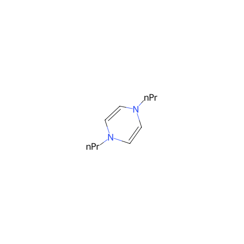 CCCN1C=CN(CCC)C=C1